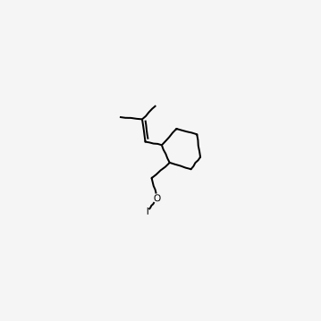 CC(C)=CC1CCCCC1COI